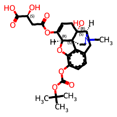 CN1CC[C@]23c4c5ccc(OC(=O)OC(C)(C)C)c4O[C@H]2C(OC(=O)C[C@H](O)C(=O)O)=CC[C@@]3(O)[C@H]1C5